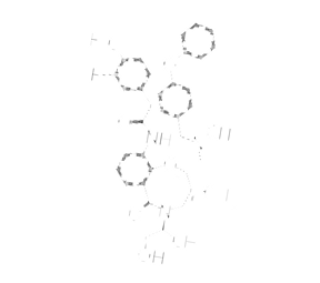 CC(CO)N1C[C@@H](C)[C@@H](CN(C)Cc2ccc(Oc3ccccc3)cc2)Oc2c(NC(=O)Cc3ccc(C(F)(F)F)c(F)c3)cccc2C1=O